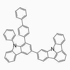 c1ccc(-c2ccc(-c3cc(-c4ccc5c6cccc7c8ccccc8n(c5c4)c76)cc4c5ccccc5n(-c5ccccc5)c34)cc2)cc1